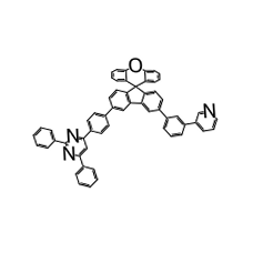 c1ccc(-c2cc(-c3ccc(-c4ccc5c(c4)-c4cc(-c6cccc(-c7cccnc7)c6)ccc4C54c5ccccc5Oc5ccccc54)cc3)nc(-c3ccccc3)n2)cc1